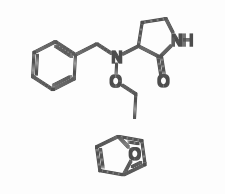 CCON(Cc1ccccc1)C1CCNC1=O.c1cc2ccc1o2